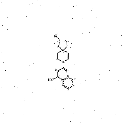 C[C@@H](OC(=O)N1CCC2(CC1)CC(Br)=NO2)c1ccccc1